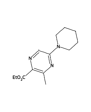 CCOC(=O)c1n[c]c(N2CCCCC2)nc1C